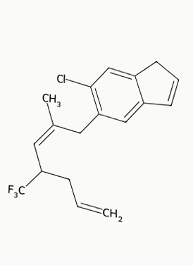 C=CCC(/C=C(/C)Cc1cc2c(cc1Cl)CC=C2)C(F)(F)F